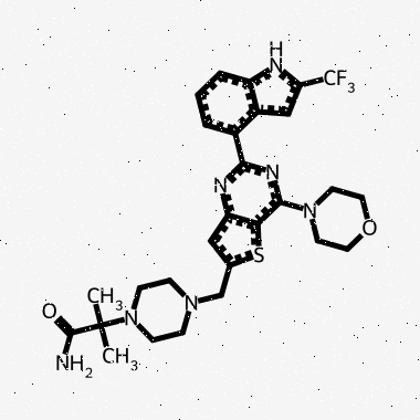 CC(C)(C(N)=O)N1CCN(Cc2cc3nc(-c4cccc5[nH]c(C(F)(F)F)cc45)nc(N4CCOCC4)c3s2)CC1